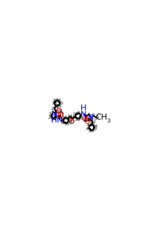 CCCN(CC(=O)Nc1ccc(-c2cc3cc(NC(=O)[C@@H]4CCCN4C(=O)Cc4ccccc4)ccc3o2)cc1)C(=O)Cc1ccccc1